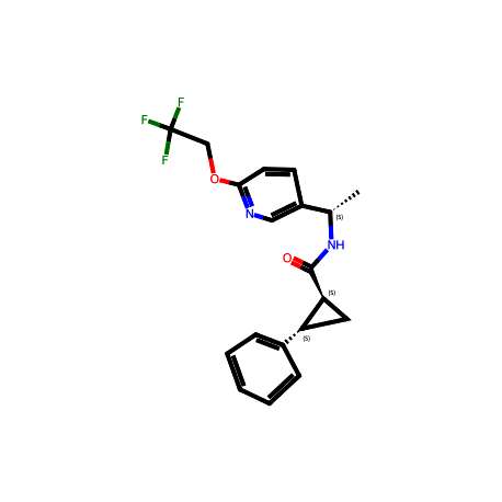 C[C@H](NC(=O)[C@H]1C[C@@H]1c1ccccc1)c1ccc(OCC(F)(F)F)nc1